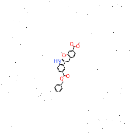 COC(=O)c1ccc(Cc2c[nH]c3ccc(C(=O)OCc4ccccc4)cc23)c(OC)c1